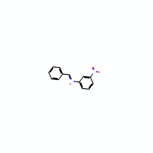 O=[N+]([O-])c1cccc([N+]([O-])=Cc2ccccc2)c1